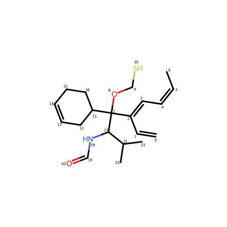 C=C/C(=C\C=C/C)C(OCS)(C1CC=CCC1)C(NC=O)C(C)C